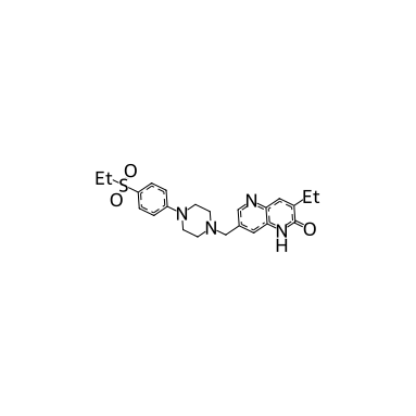 CCc1cc2ncc(CN3CCN(c4ccc(S(=O)(=O)CC)cc4)CC3)cc2[nH]c1=O